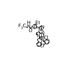 CC[C@@H]1CN(C(=O)NCC(F)(F)F)C[C@@H]1c1cnc2cnc3c(ccn3C(=O)Cc3ccccc3Nc3c(Cl)cccc3Cl)n12